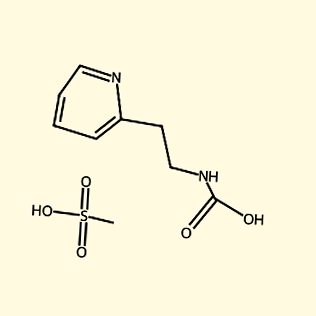 CS(=O)(=O)O.O=C(O)NCCc1ccccn1